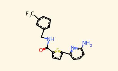 Nc1cccc(-c2ccc(C(=O)NCc3cccc(C(F)(F)F)c3)s2)n1